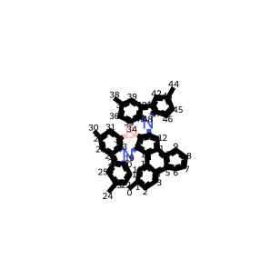 Cc1ccc2c3ccccc3c3cc4c5c(c3c2c1)-n1c2ccc(C)cc2c2cc(C)cc(c21)B5c1cc(C)cc2c3cc(C)ccc3n-4c12